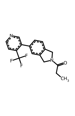 CCC(=O)N1Cc2ccc(-c3cnccc3C(F)(F)F)cc2C1